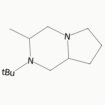 CC1CN2CCCC2CN1C(C)(C)C